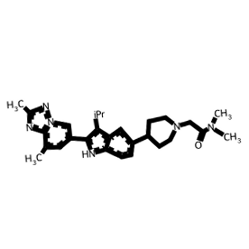 Cc1nc2c(C)cc(-c3[nH]c4ccc(C5CCN(CC(=O)N(C)C)CC5)cc4c3C(C)C)cn2n1